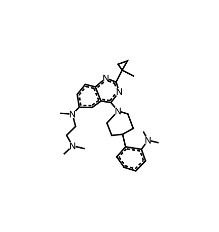 CN(C)CCN(C)c1ccc2nc(C3(C)CC3)nc(N3CCC(c4ccccc4N(C)C)CC3)c2c1